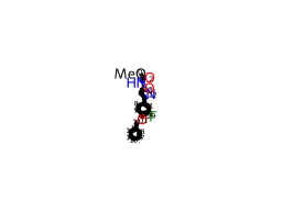 COC(=O)Nc1cc(-c2ccc(OCc3ccccc3)c(F)c2)no1